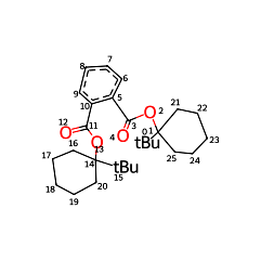 CC(C)(C)C1(OC(=O)c2ccccc2C(=O)OC2(C(C)(C)C)CCCCC2)CCCCC1